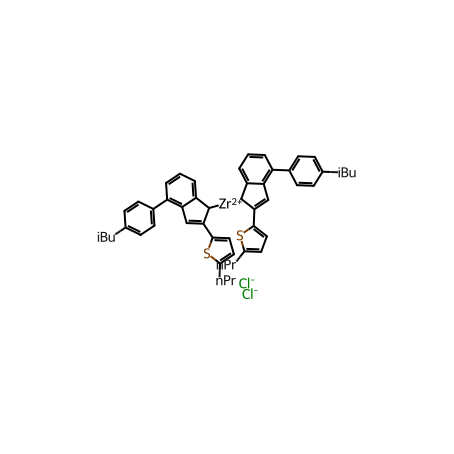 CCCc1ccc(C2=Cc3c(-c4ccc(C(C)CC)cc4)cccc3[CH]2[Zr+2][CH]2C(c3ccc(CCC)s3)=Cc3c(-c4ccc(C(C)CC)cc4)cccc32)s1.[Cl-].[Cl-]